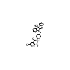 O=C(N[C@H]1CC[C@H](CN2C(=O)C(O)(c3ccsc3)c3ccccc32)CC1)c1cc(Cl)cnc1C(F)F